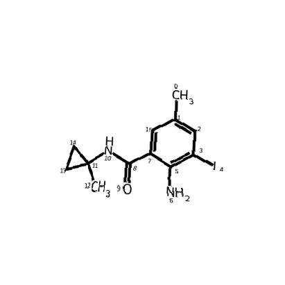 Cc1cc(I)c(N)c(C(=O)NC2(C)CC2)c1